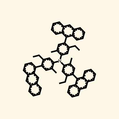 CCc1cc(N(c2cc(CC)c(-c3c4ccccc4cc4ccccc34)cc2C)c2cc(CC)c(-c3c4ccccc4cc4ccccc34)cc2C)c(C)cc1-c1cccc2cc3ccccc3cc12